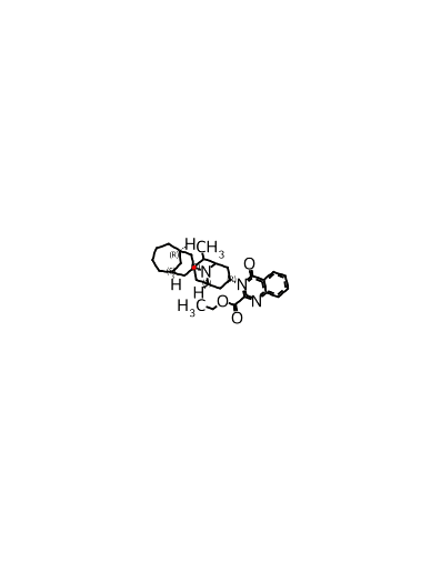 CCOC(=O)c1nc2ccccc2c(=O)n1[C@H]1CC2C(C)CC[C@@H](C1)N2[C@@H]1C[C@@H]2CCCC[C@@H](C2)C1